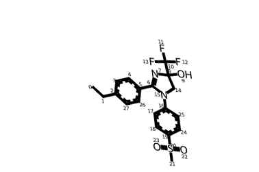 CCc1ccc(C2=NC(O)(C(F)(F)F)CN2c2ccc(S(C)(=O)=O)cc2)cc1